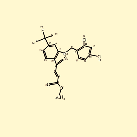 COC(=O)/C=C/c1nn(Cc2ccc(Cl)cc2Cl)c2cc(C(F)(F)F)ccc12